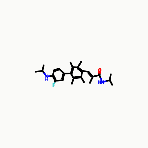 C/C(=C\c1c(C)c(C)c(-c2ccc(NC(C)C)c(F)c2)c(C)c1C)C(=O)NC(C)C